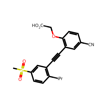 CC(C)c1ccc(S(C)(=O)=O)cc1C#Cc1cc(C#N)ccc1OCC(=O)O